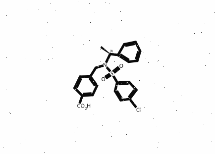 C[C@@H](c1ccccc1)N(Cc1ccc(C(=O)O)cc1)S(=O)(=O)c1ccc(Cl)cc1